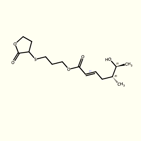 C[C@H](O)[C@H](C)C/C=C/C(=O)OCCCSC1CCOC1=O